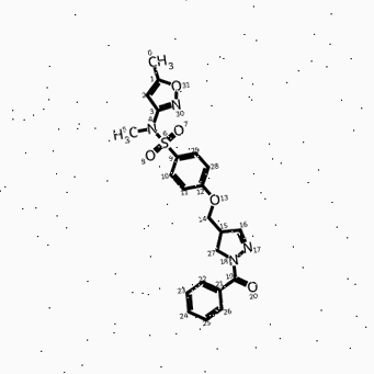 Cc1cc(N(C)S(=O)(=O)c2ccc(OCC3C=NN(C(=O)c4ccccc4)C3)cc2)no1